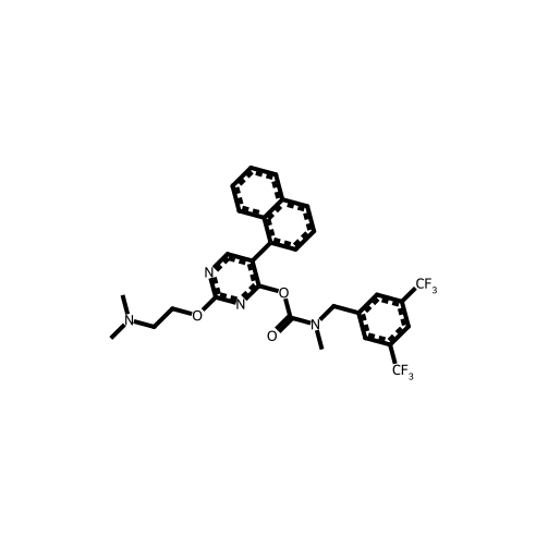 CN(C)CCOc1ncc(-c2cccc3ccccc23)c(OC(=O)N(C)Cc2cc(C(F)(F)F)cc(C(F)(F)F)c2)n1